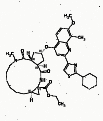 CCOC(=O)[C@@]12C[C@H]1CCCCCCN(C)C(=O)[C@@H]1C[C@H](Oc3cc(-c4csc(C5CCCCC5)n4)nc4c(C)c(OC)ccc34)C[C@H]1C(=O)N2